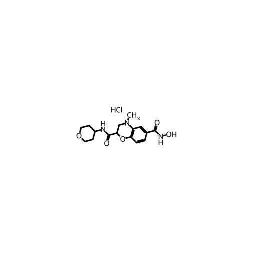 CN1CC(C(=O)NC2CCOCC2)Oc2ccc(C(=O)NO)cc21.Cl